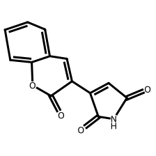 O=C1C=C(c2cc3ccccc3oc2=O)C(=O)N1